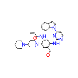 C=CC(=O)Nc1cc(Nc2nccc(-n3ccc4ccccc43)n2)c(C=O)cc1N1CCC(N2CCCCC2)CC1